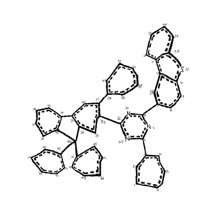 c1ccc(-c2nc(-c3ccc4sc5ccccc5c4c3)nc(-c3cc4c(cc3-c3ccccc3)-c3ccccc3C4(c3ccccc3)c3ccccc3)n2)cc1